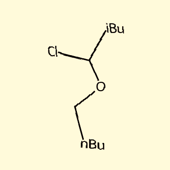 CCCCCOC(Cl)C(C)CC